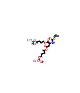 CC(C)(C)OC(=O)N[C@@H](CC(=O)OCCCCON(O)O)C(=O)OCCCCON(O)O